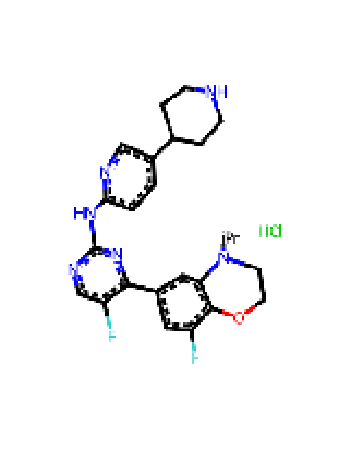 CC(C)N1CCOc2c(F)cc(-c3nc(Nc4ccc(C5CCNCC5)cn4)ncc3F)cc21.Cl